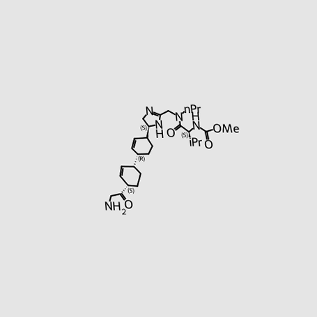 CCCN(CC1=NC[C@H](C2C=C[C@@H](C3C=C[C@@H](C(=O)CN)CC3)CC2)N1)C(=O)[C@@H](NC(=O)OC)C(C)C